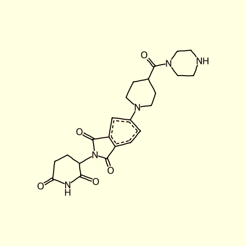 O=C1CCC(N2C(=O)c3ccc(N4CCC(C(=O)N5CCNCC5)CC4)cc3C2=O)C(=O)N1